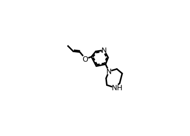 C/C=C/Oc1cncc(N2CCCNCC2)c1